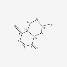 C=C1C=CC(=C)C2CC(C)CCC12